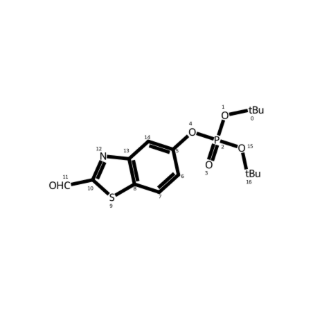 CC(C)(C)OP(=O)(Oc1ccc2sc(C=O)nc2c1)OC(C)(C)C